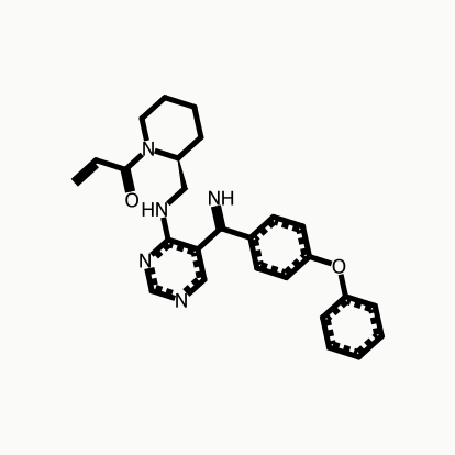 C=CC(=O)N1CCCC[C@H]1CNc1ncncc1C(=N)c1ccc(Oc2ccccc2)cc1